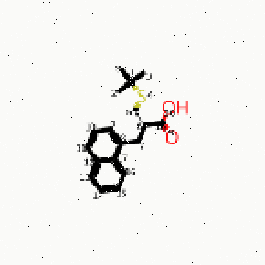 CC(C)(C)SC[C@@H](Cc1cccc2ccccc12)C(=O)O